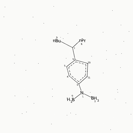 BN(B)c1ccc(C(CCC)CCCC)cc1